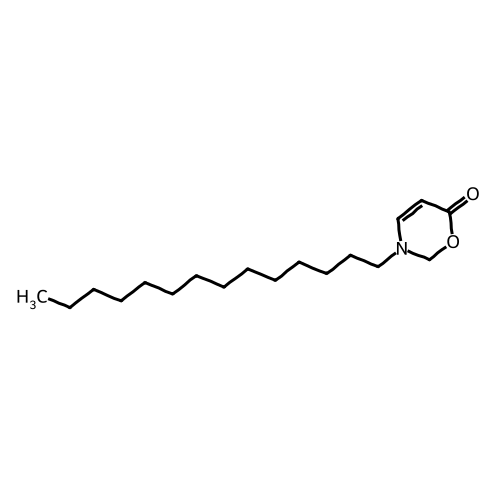 CCCCCCCCCCCCCCN1C=CC(=O)OC1